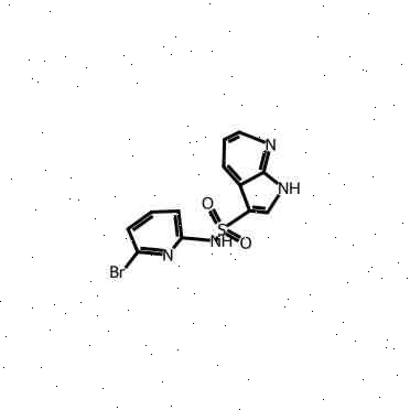 O=S(=O)(Nc1cccc(Br)n1)c1c[nH]c2ncccc12